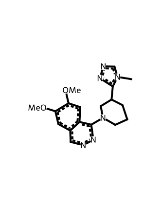 COc1cc2cnnc(N3CCCC(c4nncn4C)C3)c2cc1OC